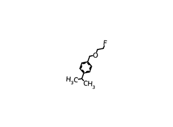 CC(C)c1ccc(COCCF)cc1